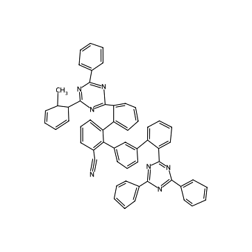 CC1C=CC=CC1c1nc(-c2ccccc2)nc(-c2ccccc2-c2cccc(C#N)c2-c2cccc(-c3ccccc3-c3nc(-c4ccccc4)nc(-c4ccccc4)n3)c2)n1